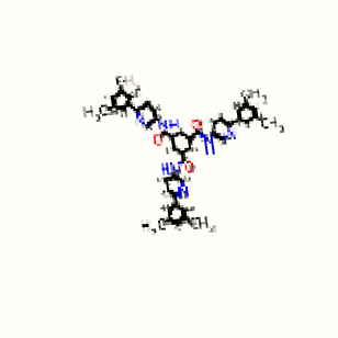 Cc1cc(C)cc(-c2ccc(NC(=O)C3CC(C(=O)Nc4ccc(-c5cc(C)cc(C)c5)nc4)CC(C(=O)Nc4ccc(-c5cc(C)cc(C)c5)nc4)C3)cn2)c1